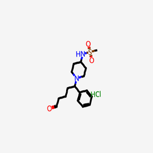 CS(=O)(=O)NC1CCN(C(CCCC=O)c2ccccc2)CC1.Cl